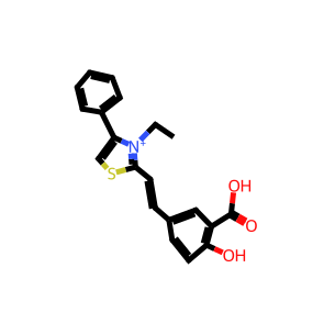 CC[n+]1c(-c2ccccc2)csc1/C=C/c1ccc(O)c(C(=O)O)c1